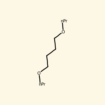 [CH2]CCOCCCCOCCC